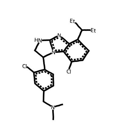 CCC(CC)c1ccc(Cl)c2c1nc1n2C(c2ccc(CN(C)C)cc2Cl)CN1